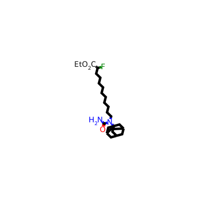 CCOC(=O)C(F)CCCCCCCCCCN(C(N)=O)C12CC3CC(CC(C3)C1)C2